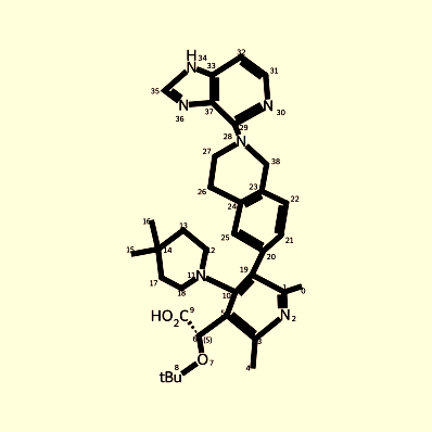 Cc1nc(C)c([C@H](OC(C)(C)C)C(=O)O)c(N2CCC(C)(C)CC2)c1-c1ccc2c(c1)CCN(c1nccc3[nH]cnc13)C2